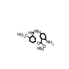 CCCCNc1ccccc1C(=O)O.CCCCOC(=O)c1ccccc1N